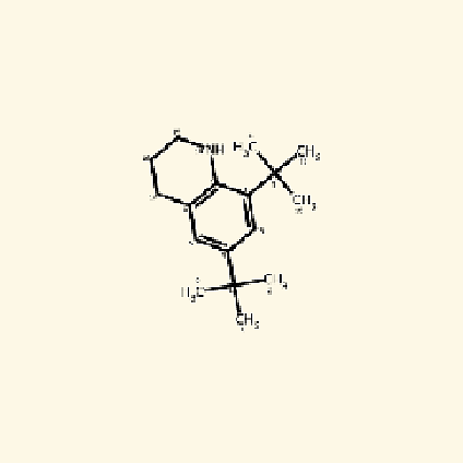 CC(C)(C)c1cc2c(c(C(C)(C)C)c1)NCCC2